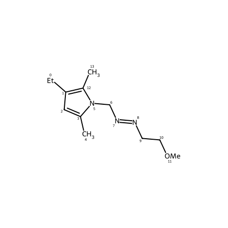 CCc1cc(C)n(CN=NCCOC)c1C